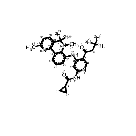 [2H]C([2H])([2H])CC(=O)c1cnc(NC(=O)C2CC2)cc1Nc1cccc2c1N(C)C([2H])([2H])c1ccc(C)nc1-2